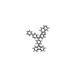 c1ccc(-c2ccc(N(c3ccc(-n4c5ccccc5c5ccccc54)cc3)c3ccc4sc5c6ccccc6ccc5c4c3)cc2)cc1